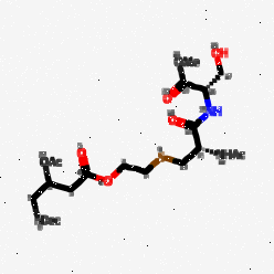 CCCCCCCCCCCC(CC(=O)OCCSC[C@@H](NC(C)=O)C(=O)N[C@@H](CO)C(=O)OC)OC(C)=O